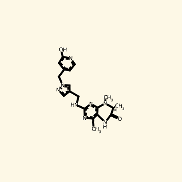 Cc1nc(NCc2cnn(Cc3ccnc(O)c3)c2)nc2c1NC(=O)[C@H](C)N2C